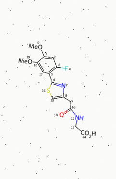 COc1cc(F)c(-c2nc(CC(=O)NCC(=O)O)cs2)cc1OC